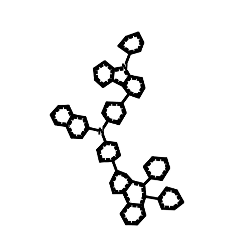 c1ccc(-c2c(-c3ccccc3)c3cc(-c4ccc(N(c5ccc(-c6cccc7c6c6ccccc6n7-c6ccccc6)cc5)c5ccc6ccccc6c5)cc4)ccc3c3ccccc23)cc1